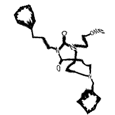 COCCN1C(=O)N(CCCc2ccccc2)C(=O)C12CCN(Cc1ccccc1)CC2